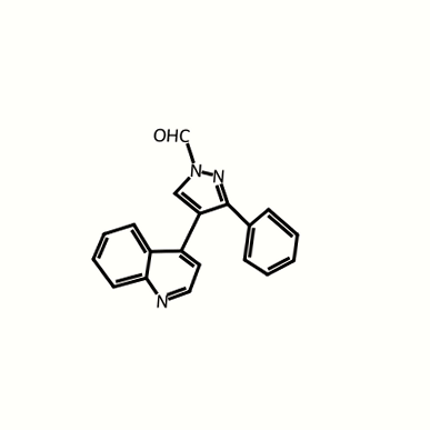 O=Cn1cc(-c2ccnc3ccccc23)c(-c2ccccc2)n1